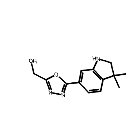 CC1(C)CNc2cc(-c3nnc(CO)o3)ccc21